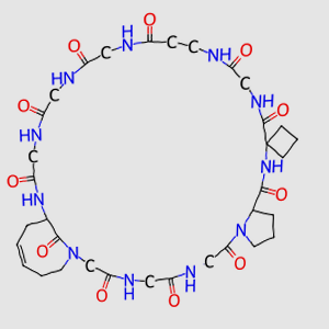 O=C1CCNC(=O)CNC(=O)C2(CCC2)NC(=O)C2CCCN2C(=O)CNC(=O)CNC(=O)CN2CCC=CCC(NC(=O)CNC(=O)CNC(=O)CN1)C2=O